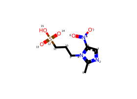 Cc1ncc([N+](=O)[O-])n1CCCS(=O)(=O)O